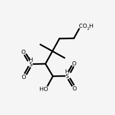 CC(C)(CCC(=O)O)C(C(O)[SH](=O)=O)[SH](=O)=O